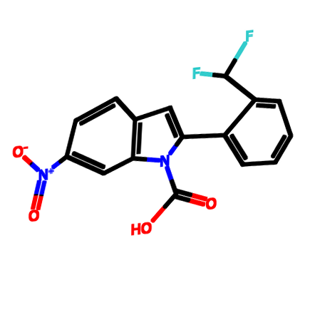 O=C(O)n1c(-c2ccccc2C(F)F)cc2ccc([N+](=O)[O-])cc21